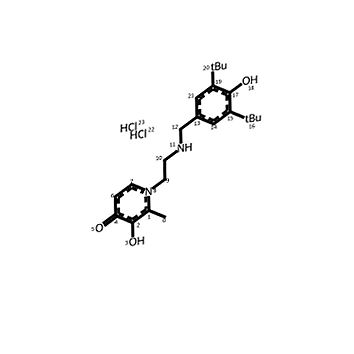 Cc1c(O)c(=O)ccn1CCNCc1cc(C(C)(C)C)c(O)c(C(C)(C)C)c1.Cl.Cl